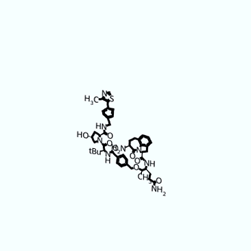 Cc1ncsc1-c1ccc(CNC(=O)[C@@H]2C[C@@H](O)CN2C(=O)[C@@H](NC(=O)c2ccc(CO[C@H](C)[C@H](CCC(N)=O)NC(=O)[C@@H]3Cc4cccc5c4N3C(=O)[C@@H](N)CC5)cc2)C(C)(C)C)cc1